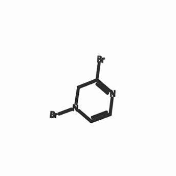 BrC1=NC=CN(Br)C1